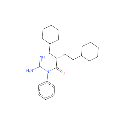 N=C(N)N(C(=O)[C@@H](CCC1CCCCC1)CC1CCCCC1)c1ccccc1